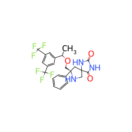 CC(OC[C@@]1(c2ccccc2)CC2(CN1)NC(=O)NC2=O)c1cc(C(F)(F)F)cc(C(F)(F)F)c1